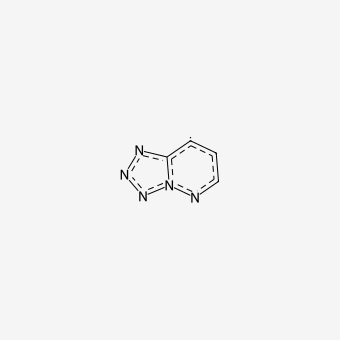 [c]1ccnn2nnnc12